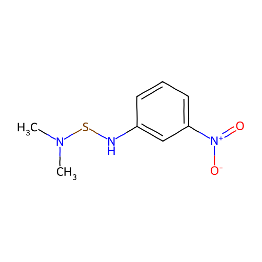 CN(C)SNc1cccc([N+](=O)[O-])c1